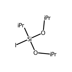 CC(C)O[Si](I)(OC(C)C)C(C)C